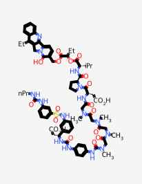 CCCNC(=O)Nc1cccc(S(=O)(=O)Nc2cccc([C@@H](CC(=O)O)NC(=O)Nc3ccc(NC(=O)N(C)CC(=O)N(C)CC(=O)N(C)CC(=O)N(C)CC(=O)N[C@@H](CC(=O)O)C(=O)N4CCC[C@H]4C(=O)N[C@H](C(=O)OC(CC)C(=O)OCC4=CC=C5c6nc7ccccc7c(CC)c6CN5C4O)C(C)C)cc3)c2)c1